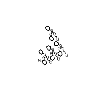 ClCCOP(OC1CCCCC1)OC1CCCCC1.ClCCOP(OC1CCCCC1)OC1CCCCC1.ClCCOP(OC1CCCCC1)OC1CCCCC1.ClCCOP(OC1CCCCC1)OC1CCCCC1.[Ni]